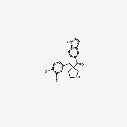 O=C(c1ccc2[nH]ccc2c1)C1(Cc2ccc(Cl)c(Cl)c2)CCNC1